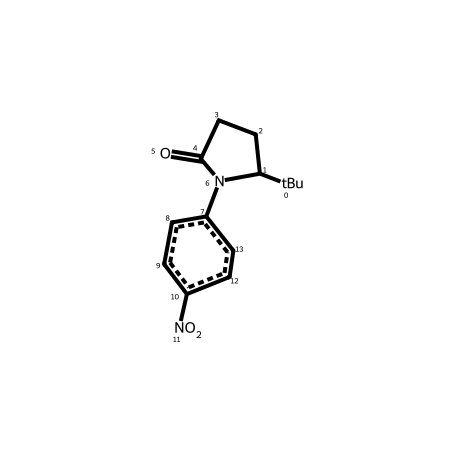 CC(C)(C)C1CCC(=O)N1c1ccc([N+](=O)[O-])cc1